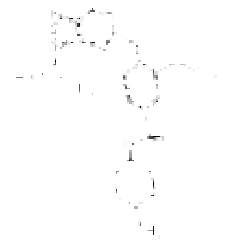 COc1cc(C(=O)NC2CCN(C)CC2)ccc1Nc1ncc2ncn(C(C)C)c2n1